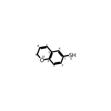 Sc1ccc2c(c1)C=CCO2